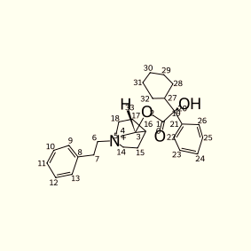 O=C(O[C@H]1C[N+]2(CCc3ccccc3)CCC1CC2)[C@@](O)(c1ccccc1)C1CCCCC1